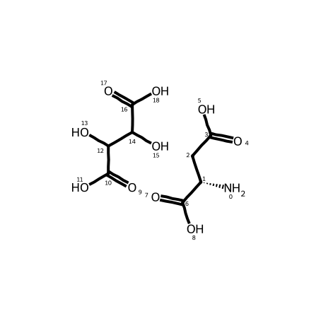 N[C@@H](CC(=O)O)C(=O)O.O=C(O)C(O)C(O)C(=O)O